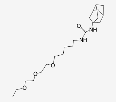 CCOCCOCCOCCCCCNC(=O)NC12CC3CC(C1)C(C3)C2